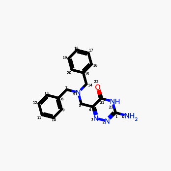 Nc1nnc(CN(Cc2ccccc2)Cc2ccccc2)c(=O)[nH]1